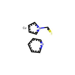 S=Cn1cccc1.[Cu].c1ccncc1